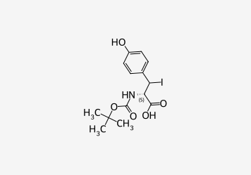 CC(C)(C)OC(=O)N[C@@H](C(=O)O)C(I)c1ccc(O)cc1